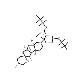 C[C@@H]1CC[C@@]2(OC1)O[C@H]1C[C@H]3[C@H](CN)[C@@H]([C@@]4(C)CC[C@H](O[Si](C)(C)C(C)(C)C)C[C@@H]4CO[Si](C)(C)C(C)(C)C)CC[C@]3(C)[C@H]1[C@@H]2C